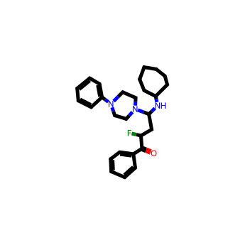 O=C(c1ccccc1)C(F)CC(NC1CCCCCC1)N1CCN(c2ccccc2)CC1